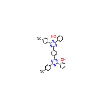 N#Cc1ccc(-c2nc(-c3ccc(-c4nc(-c5ccc(C#N)cc5)nc(-c5ccccc5O)n4)cc3)nc(-c3ccccc3O)n2)cc1